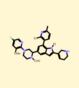 CCc1nc(C)ccc1-c1cc(C2CN(c3ncc(F)cc3OC)CCN2C=O)cc2cc(C3=CCCNC3)n(CC)c12